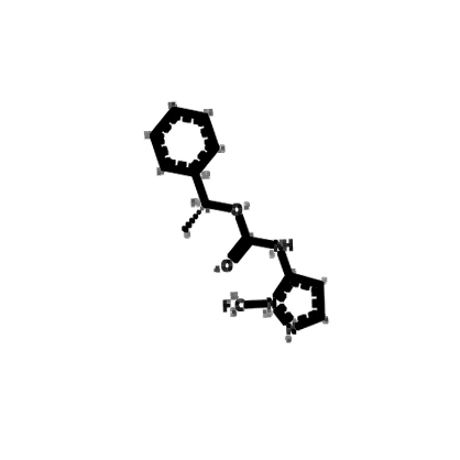 C[C@@H](OC(=O)Nc1ccnn1C(F)(F)F)c1ccccc1